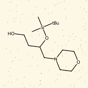 CC(C)(C)[Si](C)(C)OC(CCO)CN1CCOCC1